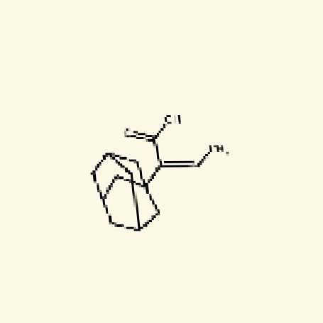 CC=C(C(=O)O)C12CC3CC(CC(C3)C1)C2